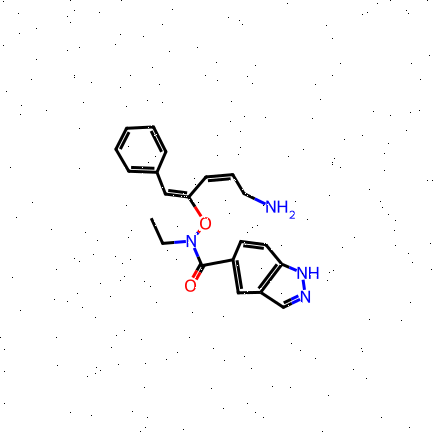 CCN(OC(/C=C\CN)=C/c1ccccc1)C(=O)c1ccc2[nH]ncc2c1